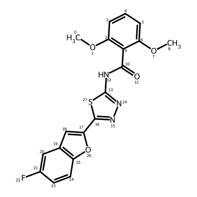 COc1cccc(OC)c1C(=O)Nc1nnc(-c2cc3cc(F)ccc3o2)s1